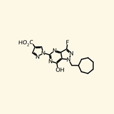 O=C(O)c1cnn(-c2nc(O)c3c(n2)c(F)nn3CC2CCCCCC2)c1